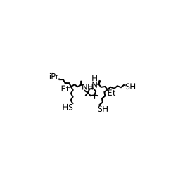 C=C(CCC(CC)(CCCCCS)CCCCC(C)C)NCC1(C)CC(NC(=C)CCC(CC)(CCCCCS)CCCCCS)CC(C)(C)C1